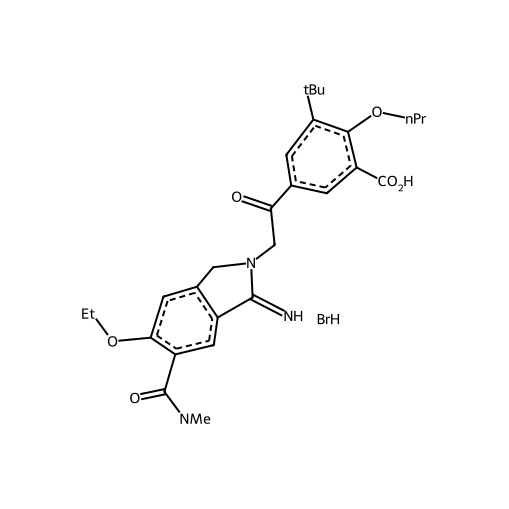 Br.CCCOc1c(C(=O)O)cc(C(=O)CN2Cc3cc(OCC)c(C(=O)NC)cc3C2=N)cc1C(C)(C)C